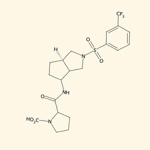 O=C(NC1CC[C@H]2CN(S(=O)(=O)c3cccc(C(F)(F)F)c3)CC12)C1CCCN1C(=O)O